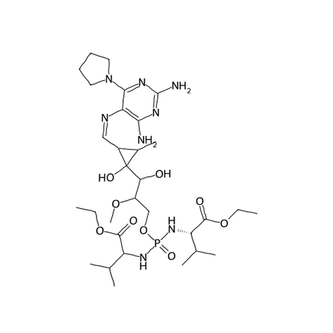 CCOC(=O)C(NP(=O)(N[C@H](C(=O)OCC)C(C)C)OCC(OC)C(O)C1(O)C(C)C1/C=N\c1c(N)nc(N)nc1N1CCCC1)C(C)C